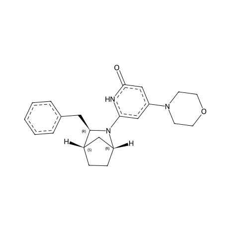 O=c1cc(N2CCOCC2)cc(N2[C@@H]3CC[C@@H](C3)[C@H]2Cc2ccccc2)[nH]1